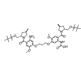 C=C1CC(CO[Si](C)(C)C(C)(C)C)N(C(=O)c2cc(OC)c(OCCCOc3cc(NC(=O)O)c(C(=O)N4CC(=C)CC4CO[Si](C)(C)C(C)(C)C)cc3OC)cc2N)C1